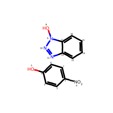 O=[N+]([O-])c1ccc(O)cc1.On1nnc2ccccc21